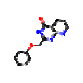 O=c1[nH]c(COc2ccccc2)nc2ncccc12